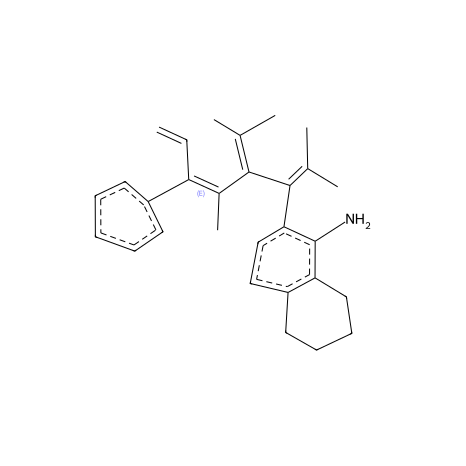 C=C/C(=C(/C)C(=C(C)C)C(=C(C)C)c1ccc2c(c1N)CCCC2)c1ccccc1